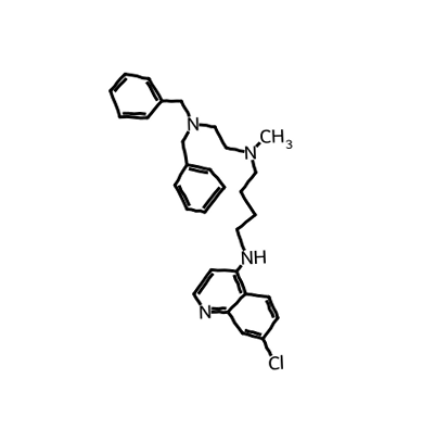 CN(CCCCNc1ccnc2cc(Cl)ccc12)CCN(Cc1ccccc1)Cc1ccccc1